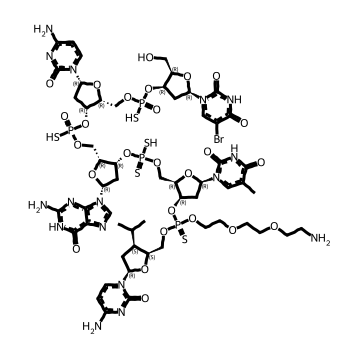 Cc1cn([C@H]2C[C@@H](OP(=S)(OCCOCCOCCN)OC[C@H]3O[C@@H](n4ccc(N)nc4=O)C[C@H]3C(C)C)[C@@H](COP(=S)(S)O[C@@H]3C[C@H](n4cnc5c(=O)[nH]c(N)nc54)O[C@@H]3COP(=O)(S)O[C@@H]3C[C@H](n4ccc(N)nc4=O)O[C@@H]3COP(=O)(S)O[C@@H]3C[C@H](n4cc(Br)c(=O)[nH]c4=O)O[C@@H]3CO)O2)c(=O)[nH]c1=O